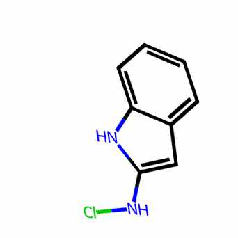 ClNc1cc2ccccc2[nH]1